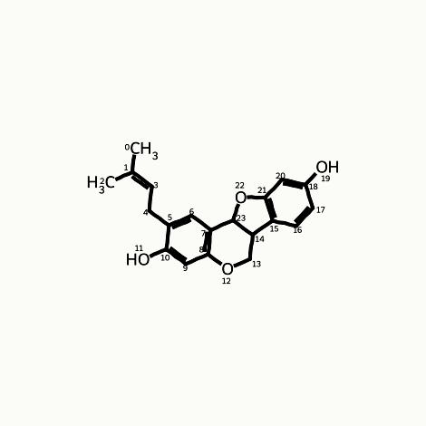 CC(C)=CCc1cc2c(cc1O)OCC1c3ccc(O)cc3OC21